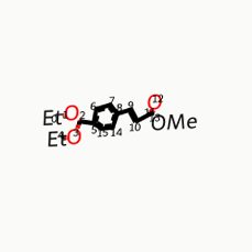 CCOC(OCC)c1ccc(/C=C/C(=O)OC)cc1